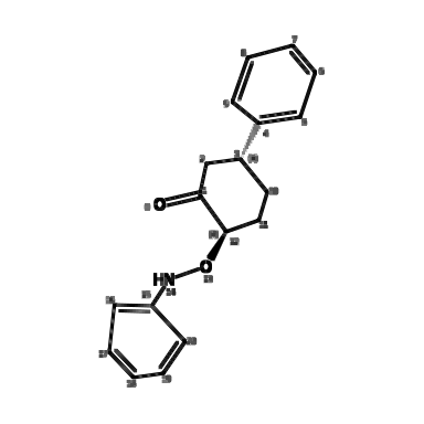 O=C1C[C@H](c2ccccc2)CC[C@H]1ONc1ccccc1